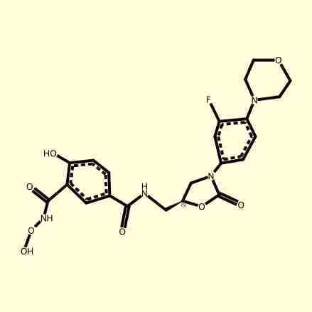 O=C(NC[C@H]1CN(c2ccc(N3CCOCC3)c(F)c2)C(=O)O1)c1ccc(O)c(C(=O)NOO)c1